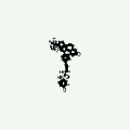 C[C@]12C[C@H](c3ccc(C#CCNC(=O)Nc4ccc(Cl)cc4)cc3)C3=C4CCC(=O)C=C4CCC3C1CC[C@@]2(O)C(F)(F)C(F)(F)F